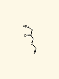 C=COCC(=O)OCCCC